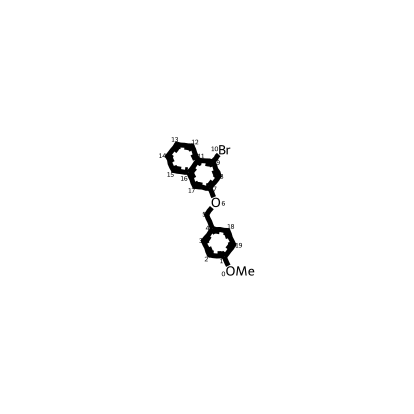 COc1ccc(COc2cc(Br)c3ccccc3c2)cc1